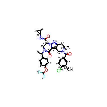 CC(c1ccc(OC(F)F)cc1)N1C[C@@H](C(=O)NC2CC2)n2nc3c(c2C1=O)CN(C(=O)c1ccc(Cl)c(C#N)c1)[C@H](C)C3